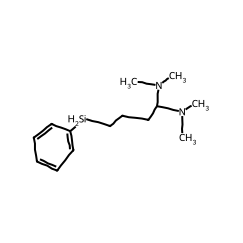 CN(C)C(CCC[SiH2]c1ccccc1)N(C)C